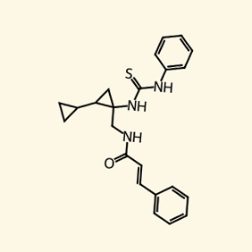 O=C(C=Cc1ccccc1)NCC1(NC(=S)Nc2ccccc2)CC1C1CC1